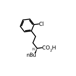 CCCC[C@@H](CCc1ccccc1Cl)C(=O)O